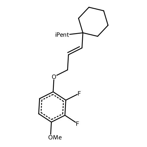 CCCC(C)C1(/C=C/COc2ccc(OC)c(F)c2F)CCCCC1